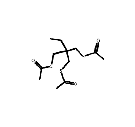 CCC(CSC(C)=O)(CSC(C)=O)CSC(C)=O